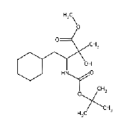 COC(=O)C(C)(O)C(CC1CCCCC1)NC(=O)OC(C)(C)C